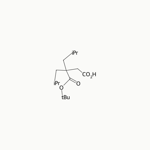 CC(C)CC(CC(=O)O)(CC(C)C)C(=O)OC(C)(C)C